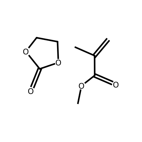 C=C(C)C(=O)OC.O=C1OCCO1